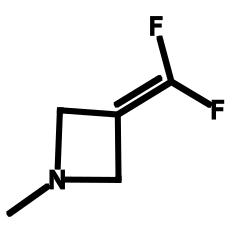 CN1CC(=C(F)F)C1